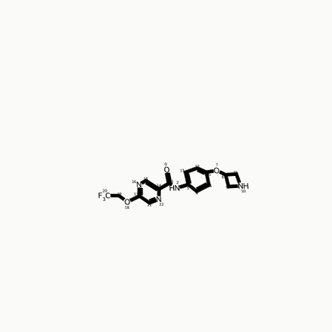 O=C(Nc1ccc(OC2CNC2)cc1)c1cnc(OCC(F)(F)F)cn1